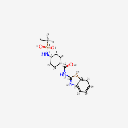 CC(C)(C)S(=O)(=O)N[C@H]1CC[C@H](C(=O)Nc2nc3ccccc3s2)CC1